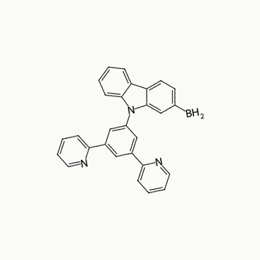 Bc1ccc2c3ccccc3n(-c3cc(-c4ccccn4)cc(-c4ccccn4)c3)c2c1